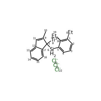 CCc1cccc([SiH2][C]2([Ti+3])C(C)=Cc3ccccc32)c1CC.[Cl-].[Cl-].[Cl-]